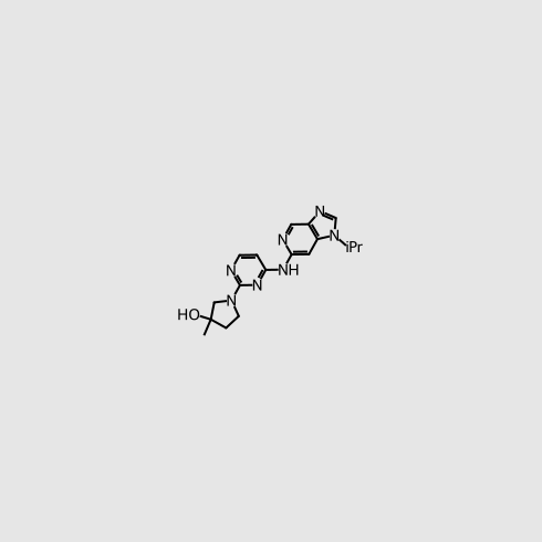 CC(C)n1cnc2cnc(Nc3ccnc(N4CCC(C)(O)C4)n3)cc21